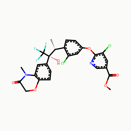 COC(=O)c1cnc(Oc2ccc([C@@H](C)[C@@](O)(c3ccc4c(c3)N(C)C(=O)CO4)C(F)(F)F)c(Cl)c2)c(Cl)c1